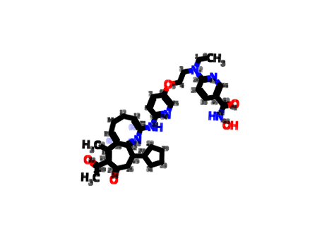 CCN(CCOc1ccc(NC2=C\CC/C=C3/C(C)=C(C(C)=O)C(=O)CC(C4CCCC4)/C3=N/2)nc1)c1ccc(C(=O)NO)cn1